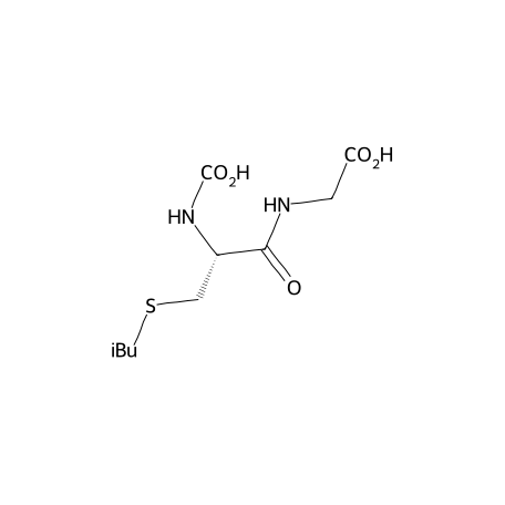 CCC(C)SC[C@H](NC(=O)O)C(=O)NCC(=O)O